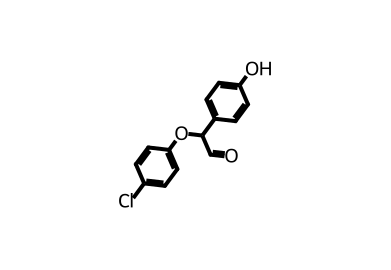 O=CC(Oc1ccc(Cl)cc1)c1ccc(O)cc1